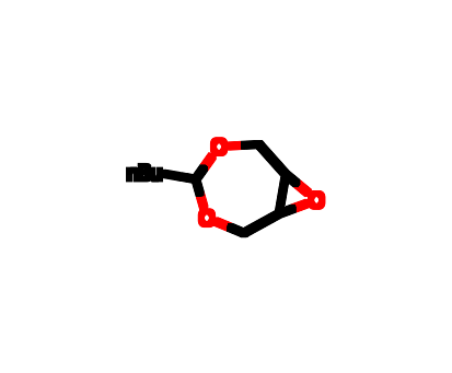 CCCCC1OCC2OC2CO1